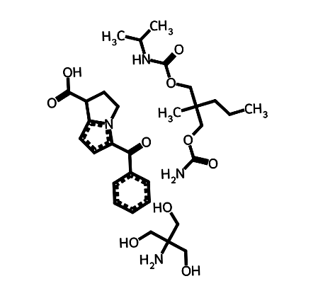 CCCC(C)(COC(N)=O)COC(=O)NC(C)C.NC(CO)(CO)CO.O=C(c1ccccc1)c1ccc2n1CCC2C(=O)O